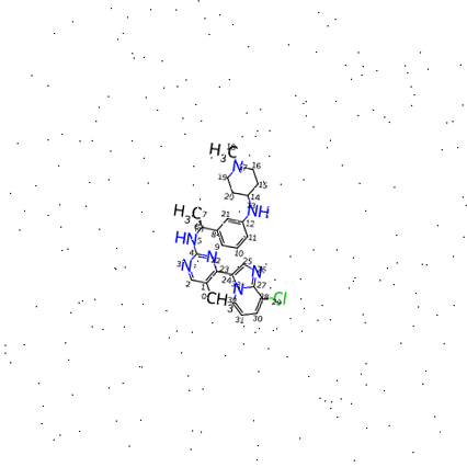 Cc1cnc(N[C@@H](C)c2cccc(NC3CCN(C)CC3)c2)nc1-c1cnc2c(Cl)cccn12